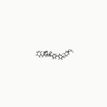 CN1CCC(Oc2ccc(-c3ccc(NC(=O)c4cn(CC5CCCCC5)nn4)cc3)cc2)CC1